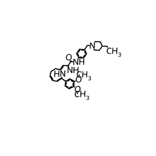 CCC1CCN(Cc2ccc(NC(=O)C(=N)/C=C3/CC/C=C\C=C(\c4ccc(OC)c(OC)c4)N3)cc2)CC1